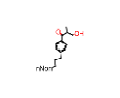 CCCCCCCCCCCCc1ccc(C(=O)C(C)CO)cc1